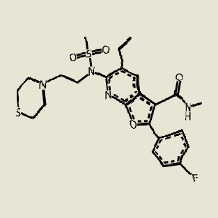 CCc1cc2c(C(=O)NC)c(-c3ccc(F)cc3)oc2nc1N(CCN1CCSCC1)S(C)(=O)=O